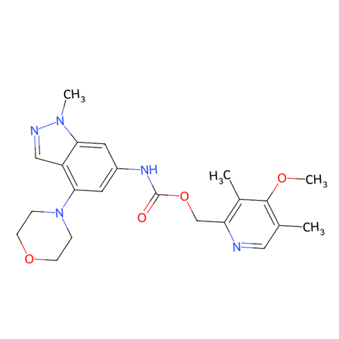 COc1c(C)cnc(COC(=O)Nc2cc(N3CCOCC3)c3cnn(C)c3c2)c1C